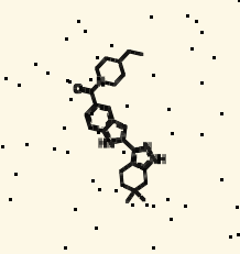 CCC1CCN(C(=O)c2ccc3[nH]c(-c4n[nH]c5c4CCC(C)(C)C5)cc3c2)CC1